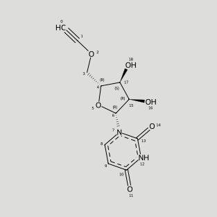 C#COC[C@H]1O[C@@H](n2ccc(=O)[nH]c2=O)[C@H](O)[C@@H]1O